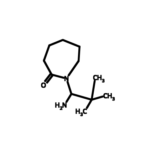 CC(C)(C)C(N)N1CCCCCC1=O